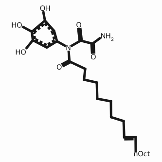 CCCCCCCCC=CCCCCCCCC(=O)N(C(=O)C(N)=O)c1cc(O)c(O)c(O)c1